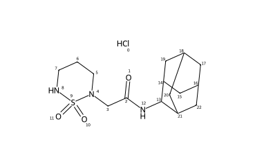 Cl.O=C(CN1CCCNS1(=O)=O)NC1C2CC3CC(C2)CC1C3